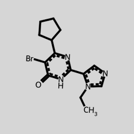 CCn1cncc1-c1nc(C2CCCC2)c(Br)c(=O)[nH]1